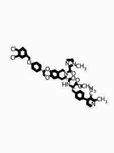 COC(=O)[C@H](Cc1ccc(-c2ccnc(C)c2C)cc1)NC(=O)[C@@H]1Cc2cc3c(cc2CN1C(=O)c1nccn1C)O[C@@H](c1ccc(OCc2ccc(Cl)c(Cl)c2)cc1)CO3